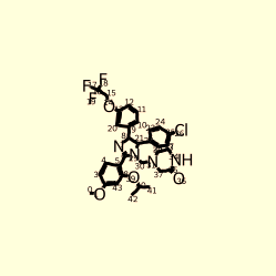 COc1ccc(C2=NC(c3cccc(OCC(F)(F)F)c3)C(c3ccc(Cl)cc3)N2CN2CCNC(=O)C2)c(OC(C)C)c1